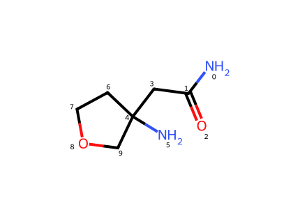 NC(=O)CC1(N)CCOC1